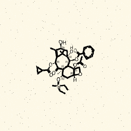 CC[Si](C)(CC)O[C@H]1C[C@H]2OC[C@@]2(OC(C)=O)C2[C@H](OC(=O)c3ccccc3)[C@]3(O)C[C@H](O)C(C)=C([C@@H](OC(=O)C4CC4)C(=O)[C@@]21C)C3(C)C